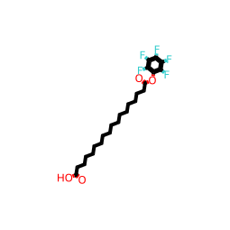 O=C(O)CCCCCCCCCCCCCCCCC(=O)Oc1c(F)c(F)c(F)c(F)c1F